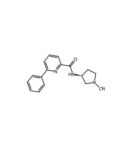 N#CN1CC[C@H](NC(=O)c2cccc(-c3ccccc3)n2)C1